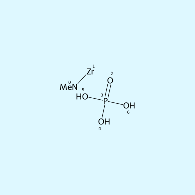 C[NH][Zr].O=P(O)(O)O